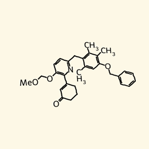 COCOc1ccc(Cc2c(C)cc(OCc3ccccc3)c(C)c2C)nc1C1=CC(=O)CCC1